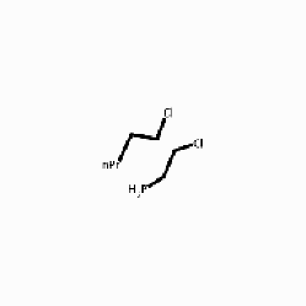 CCCCCCl.PCCCl